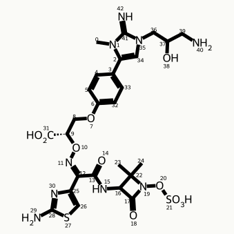 Cn1c(-c2ccc(OC[C@H](O/N=C(\C(=O)NC3C(=O)N(OS(=O)(=O)O)C3(C)C)c3csc(N)n3)C(=O)O)cc2)cn(CC(O)CN)c1=N